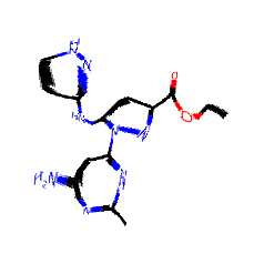 CCOC(=O)c1cc(Nc2cc[nH]n2)n(-c2cc(N)nc(C)n2)n1